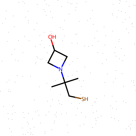 CC(C)(CS)N1CC(O)C1